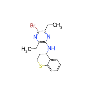 CCc1nc(NC2CCSc3ccccc32)c(CC)nc1Br